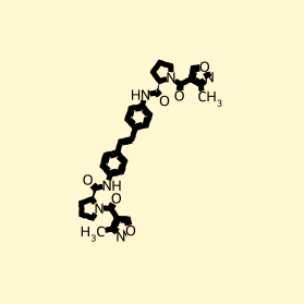 Cc1nocc1C(=O)N1CCC[C@H]1C(=O)Nc1ccc(/C=C/c2ccc(NC(=O)[C@@H]3CCCN3C(=O)c3conc3C)cc2)cc1